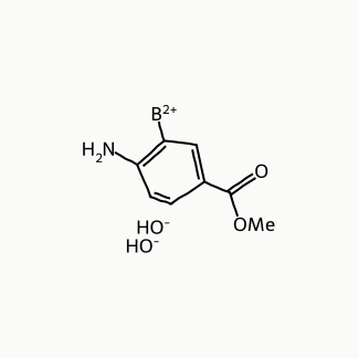 [B+2]c1cc(C(=O)OC)ccc1N.[OH-].[OH-]